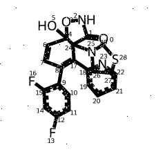 O=C1NOC2(O)C=CC(c3ccc(F)cc3F)=C(c3ccccn3)C12N1CCSC1